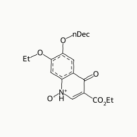 CCCCCCCCCCOc1cc2c(cc1OCC)[NH+]([O-])C=C(C(=O)OCC)C2=O